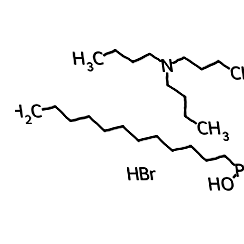 Br.CCCCN(CCCC)CCCC.[CH2]CCCCCCCCCCCP(=O)(O)O